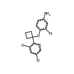 CCc1cc(N)ccc1OC1(c2ncc(Cl)cc2Cl)CCC1